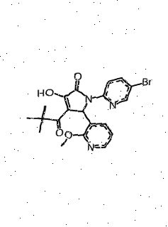 COc1ncccc1C1C(C(=O)C(C)(C)C)=C(O)C(=O)N1c1ccc(Br)cn1